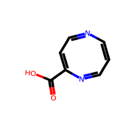 O=C(O)C1=CC=NC=CC=N1